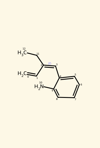 C=C/C(=C\c1ccccc1N)CC